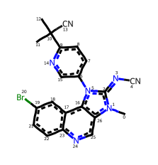 Cn1c(=NC#N)n(-c2ccc(C(C)(C)C#N)nc2)c2c3cc(Br)ccc3ncc21